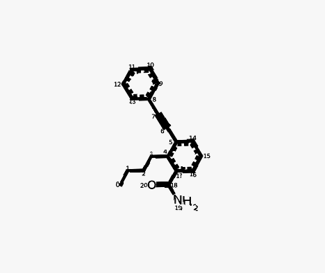 CCCCc1c(C#Cc2ccccc2)cccc1C(N)=O